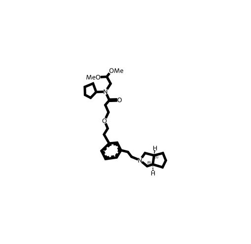 COC(CN(C(=O)CCOCCc1cccc(CCN2C[C@H]3CCC[C@H]3C2)c1)C1CCCC1)OC